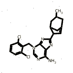 CC1CC2=CC(c3nc4c(N)ncn(Cc5c(Cl)cccc5Cl)c-4n3)C(C2)C1